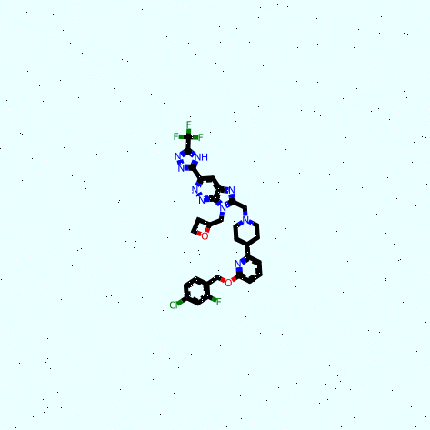 Fc1cc(Cl)ccc1COc1cccc(C2CCN(Cc3nc4cc(-c5nnc(C(F)(F)F)[nH]5)nnc4n3CC3CCO3)CC2)n1